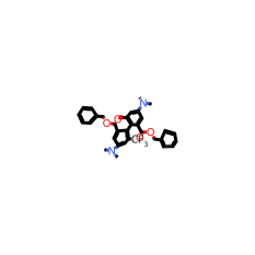 Cc1cc(N(C)C)cc(C(=O)OCc2ccccc2)c1-c1c(C(=O)OCc2ccccc2)cc(N(C)C)cc1C(F)(F)F